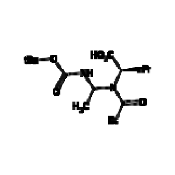 CCC[C@H](C(=O)O)N(C(=O)CC)C(C)NC(=O)OC(C)(C)C